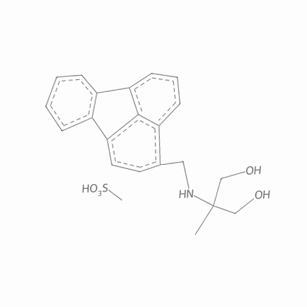 CC(CO)(CO)NCc1ccc2c3c(cccc13)-c1ccccc1-2.CS(=O)(=O)O